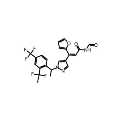 CC(c1ccc(C(F)(F)F)cc1C(F)(F)F)n1cc(C(=CC(=O)NC=O)c2ccco2)cn1